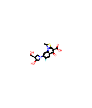 CC1Sc2c(C(=O)O)c(=O)c3cc(F)c(N4CC(O)C(CO)C4)cc3n21